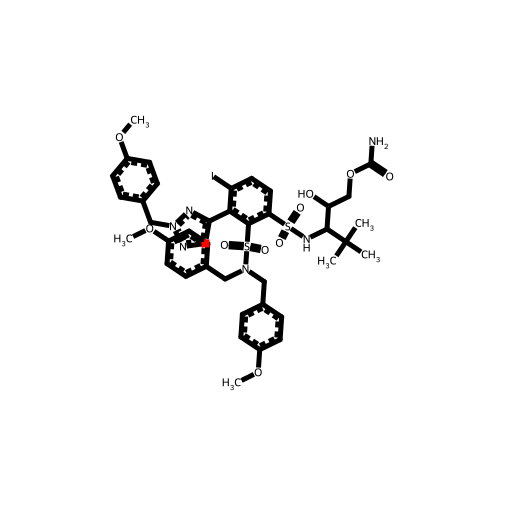 COc1ccc(CN(Cc2ccc(OC)cc2)S(=O)(=O)c2c(S(=O)(=O)NC(C(O)COC(N)=O)C(C)(C)C)ccc(I)c2-c2nnn(Cc3ccc(OC)cc3)n2)cc1